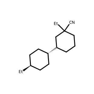 CCC1(C#N)CCCC([C@H]2CC[C@H](CC)CC2)C1